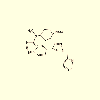 CNC1CCC(N(C)c2ncnc3ccc(-c4cnn(Cc5ccccn5)c4)cc23)CC1